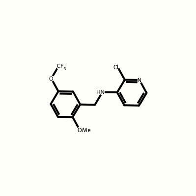 COc1ccc(OC(F)(F)F)cc1CNc1cccnc1Cl